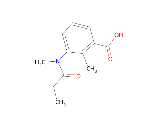 CCC(=O)N(C)c1cccc(C(=O)O)c1C